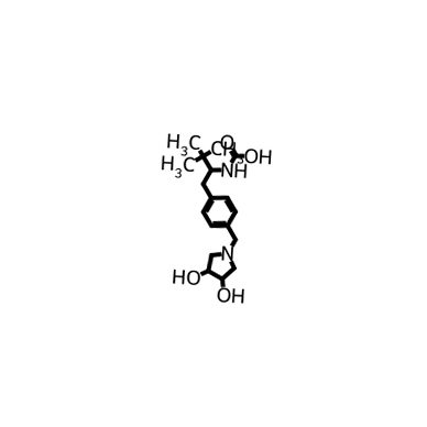 CC(C)(C)C(Cc1ccc(CN2CC(O)C(O)C2)cc1)NC(=O)O